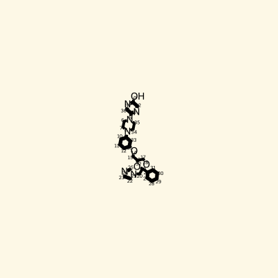 Oc1cnc(N2CCN(c3cccc(OCC4COC(Cn5ccnc5)(c5ccccc5)O4)c3)CC2)cn1